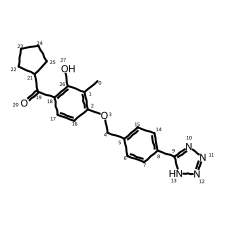 Cc1c(OCc2ccc(-c3nnn[nH]3)cc2)ccc(C(=O)C2CCCC2)c1O